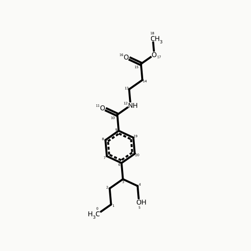 CCCC(CO)c1ccc(C(=O)NCCC(=O)OC)cc1